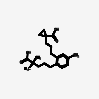 Cc1ccc(CCCC(C)(C)C(=O)O)c(CCCC2(C(=O)O)CC2)c1